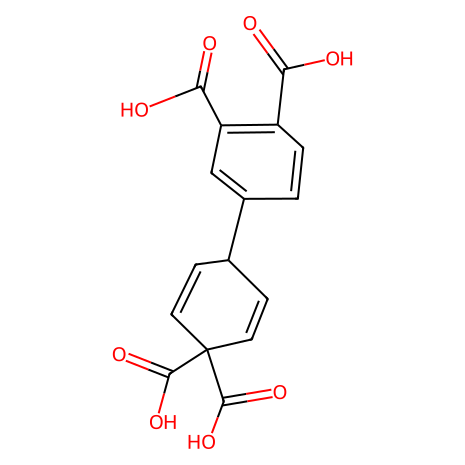 O=C(O)c1ccc(C2C=CC(C(=O)O)(C(=O)O)C=C2)cc1C(=O)O